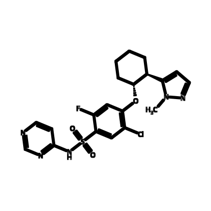 Cn1nccc1[C@@H]1CCCC[C@H]1Oc1cc(F)c(S(=O)(=O)Nc2ccncn2)cc1Cl